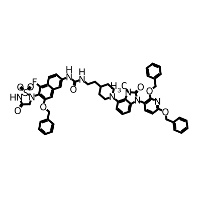 Cn1c(=O)n(-c2ccc(OCc3ccccc3)nc2OCc2ccccc2)c2cccc(N3CCC(CCNC(=O)Nc4ccc5c(F)c(N6CC(=O)NS6(=O)=O)c(OCc6ccccc6)cc5c4)CC3)c21